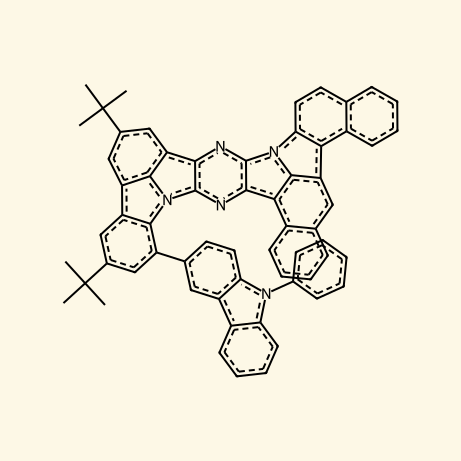 CC(C)(C)c1cc(-c2ccc3c(c2)c2ccccc2n3-c2ccccc2)c2c(c1)c1cc(C(C)(C)C)cc3c4nc5c(nc4n2c13)c1c2ccccc2cc2c3c4ccccc4ccc3n5c21